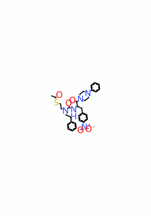 CC(=O)SCCN(CCc1ccccc1)C(=O)NC(Cc1ccc([N+](=O)[O-])cc1)C(=O)N1CCN(c2ccccc2)CC1